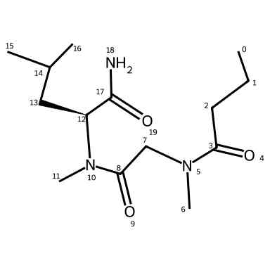 CCCC(=O)N(C)CC(=O)N(C)[C@@H](CC(C)C)C(N)=O